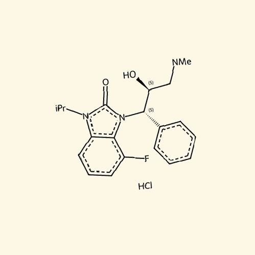 CNC[C@H](O)[C@H](c1ccccc1)n1c(=O)n(C(C)C)c2cccc(F)c21.Cl